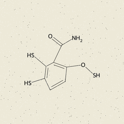 NC(=O)c1c(OS)ccc(S)c1S